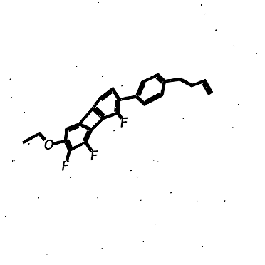 C=CCCc1ccc(-c2ccc3c(c2F)-c2c-3cc(OCC)c(F)c2F)cc1